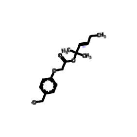 CC/C=C/C(C)(C)OC(=O)COc1ccc(C[O])cc1